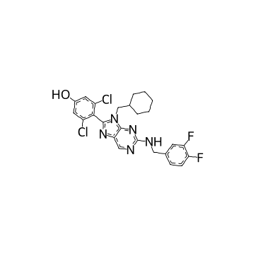 Oc1cc(Cl)c(-c2nc3cnc(NCc4ccc(F)c(F)c4)nc3n2CC2CCCCC2)c(Cl)c1